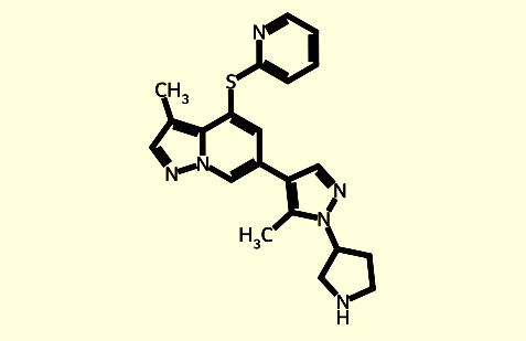 Cc1cnn2cc(-c3cnn(C4CCNC4)c3C)cc(Sc3ccccn3)c12